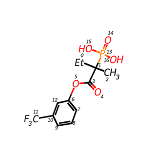 CCC(C)(C(=O)Oc1cccc(C(F)(F)F)c1)P(=O)(O)O